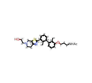 CC(=O)NCCCOc1cccc(-c2cccc(-c3nc4c(s3)CN(CCO)CC4)c2C)c1C